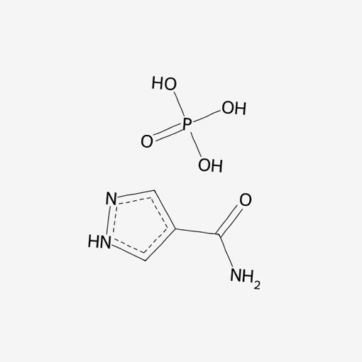 NC(=O)c1cn[nH]c1.O=P(O)(O)O